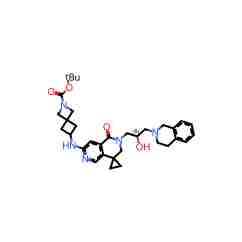 CC(C)(C)OC(=O)N1CC2(CC(Nc3cc4c(cn3)C3(CC3)CN(C[C@H](O)CN3CCc5ccccc5C3)C4=O)C2)C1